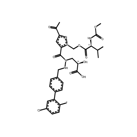 COC(=O)N[C@H](C(=O)OCn1nc(C(C)=O)cc1C(=O)N(C[C@@H](O)C(=O)O)NCc1ccc(-c2cc(Cl)ccc2F)cc1)C(C)C